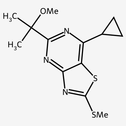 COC(C)(C)c1nc(C2CC2)c2sc(SC)nc2n1